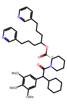 COc1cc(C(C(=O)N2CCCC[C@H]2C(=O)OC(CCCc2cccnc2)CCCc2cccnc2)C2CCCCC2)cc(OC)c1OC